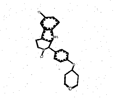 Clc1ccc2[nH]c3c(c2c1)CCN(Cl)C3c1ccc(OC2CCOCC2)cc1